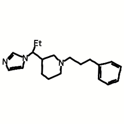 CCC(C1CCCN(CCCc2ccccc2)C1)n1ccnc1